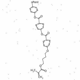 C=C(C)C(=O)OCCCCOc1ccc(C(=O)Oc2ccc(C(=O)Oc3ccc(CCCCC)cc3)cc2)cc1